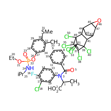 CC(C(=O)O)N(C(=O)c1ccccc1)c1ccc(F)c(Cl)c1.CCOP(=O)(NC(C)C)Oc1ccc(SC)c(C)c1.ClC1=C(Cl)C2(Cl)C3C4CC(C5OC45)C3C1(Cl)C2(Cl)Cl